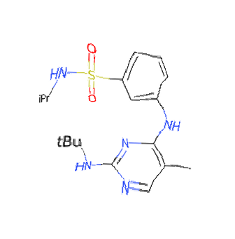 Cc1cnc(NC(C)(C)C)nc1Nc1cccc(S(=O)(=O)NC(C)C)c1